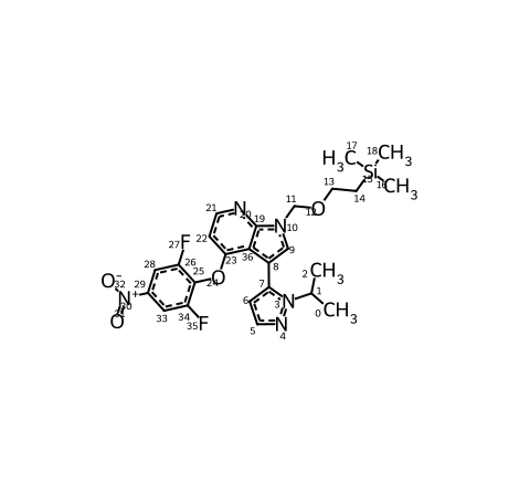 CC(C)n1nccc1-c1cn(COCC[Si](C)(C)C)c2nccc(Oc3c(F)cc([N+](=O)[O-])cc3F)c12